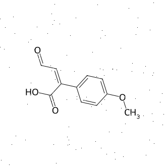 COc1ccc(C(=CC=O)C(=O)O)cc1